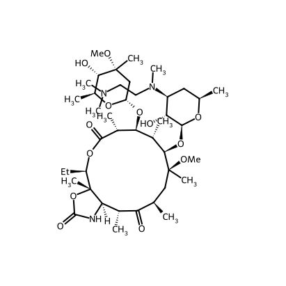 CC[C@H]1OC(=O)[C@H](C)[C@@H](O[C@H]2C[C@@](C)(OC)[C@@H](O)[C@H](C)O2)[C@H](C)[C@@H](O[C@@H]2O[C@H](C)C[C@H](N(C)CCN(C)C)[C@H]2O)[C@@](C)(OC)C[C@@H](C)C(=O)[C@H](C)[C@H]2NC(=O)O[C@@]21C